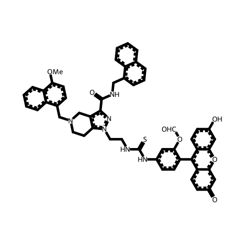 COc1ccc(CN2CCc3c(c(C(=O)NCc4cccc5ccccc45)nn3CCNC(=S)Nc3ccc(-c4c5ccc(=O)cc-5oc5cc(O)ccc45)c(OC=O)c3)C2)c2ccccc12